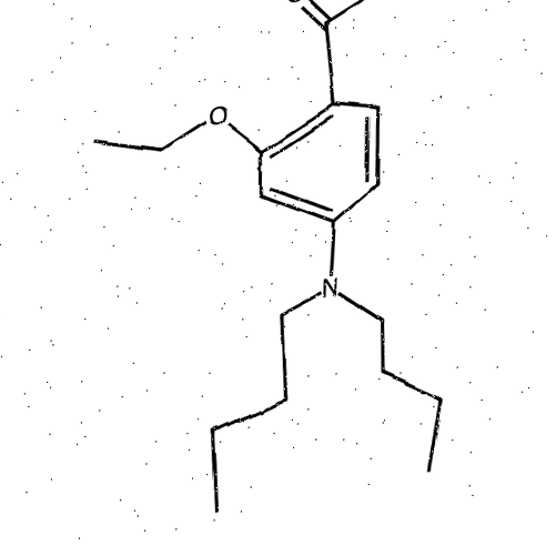 [CH2]C(=O)c1ccc(N(CCCC)CCCC)cc1OCC